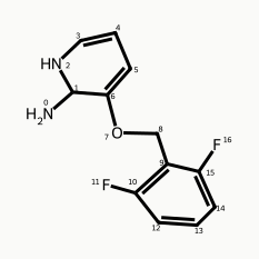 NC1NC=CC=C1OCc1c(F)cccc1F